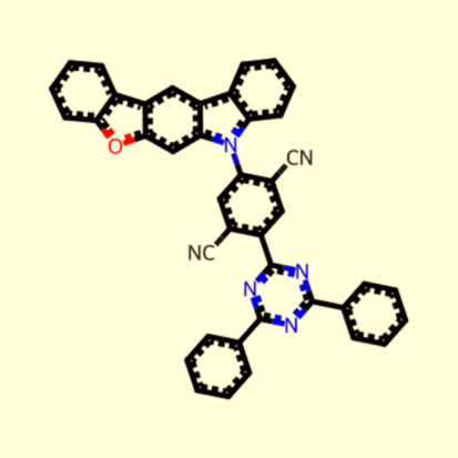 N#Cc1cc(-n2c3ccccc3c3cc4c(cc32)oc2ccccc24)c(C#N)cc1-c1nc(-c2ccccc2)nc(-c2ccccc2)n1